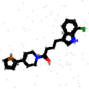 O=C(CCCc1c[nH]c2c(Br)cccc12)N1CC=C(c2cccs2)CC1